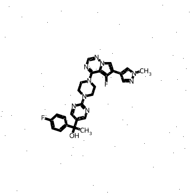 Cn1cc(-c2cn3ncnc(N4CCN(c5ncc(C(C)(O)c6ccc(F)cc6)cn5)CC4)c3c2F)cn1